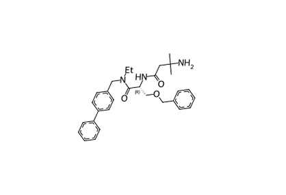 CCN(Cc1ccc(-c2ccccc2)cc1)C(=O)[C@@H](COCc1ccccc1)NC(=O)CC(C)(C)N